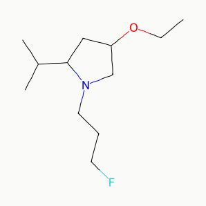 CCOC1CC(C(C)C)N(CCCF)C1